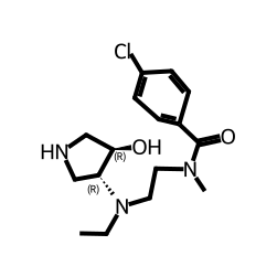 CCN(CCN(C)C(=O)c1ccc(Cl)cc1)[C@@H]1CNC[C@H]1O